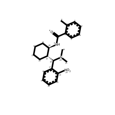 Cc1ccccc1C(=O)N[C@@H]1CCCC[C@H]1C(c1ccccc1[N+](=O)[O-])N(C)C